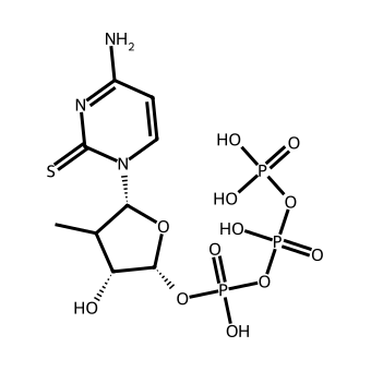 CC1[C@@H](O)[C@@H](OP(=O)(O)OP(=O)(O)OP(=O)(O)O)O[C@H]1n1ccc(N)nc1=S